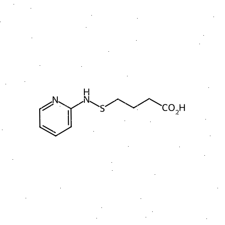 O=C(O)CCCSNc1ccccn1